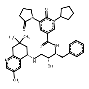 Cc1cnc2c(c1)[C@@H](NC[C@@H](O)[C@H](Cc1ccccc1)NC(=O)c1cc(N3CCCC3=O)c(=O)n(C3CCCC3)c1)CC(C)(C)C2